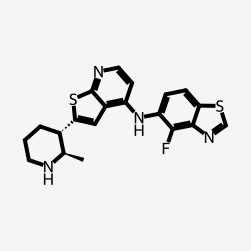 C[C@H]1NCCC[C@@H]1c1cc2c(Nc3ccc4scnc4c3F)ccnc2s1